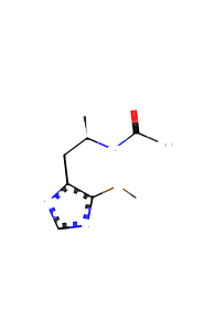 CCCCC(=O)N[C@@H](Cc1[nH]cnc1SC(C)=O)C(=O)O